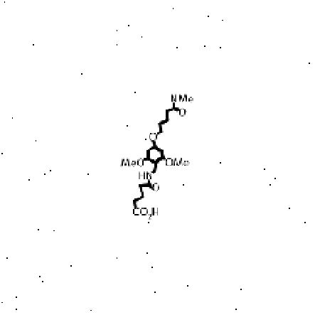 CNC(=O)CCCCOc1cc(OC)c(CNC(=O)CCCC(=O)O)c(OC)c1